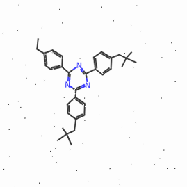 CCc1ccc(-c2nc(-c3ccc(CC(C)(C)C)cc3)nc(-c3ccc(CC(C)(C)C)cc3)n2)cc1